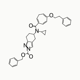 O=C(C1=CCC=C(OCCc2ccccc2)C=C1)N(C1CC1)C1CCc2nn(C(=O)OCc3ccccc3)cc2C1